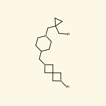 CC(C)CC1(CN2CCC(CN3CC4(C3)CN(C(C)C)C4)CC2)CC1